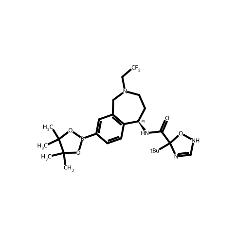 CC(C)(C)C1(C(=O)N[C@@H]2CCN(CC(F)(F)F)Cc3cc(B4OC(C)(C)C(C)(C)O4)ccc32)N=CNO1